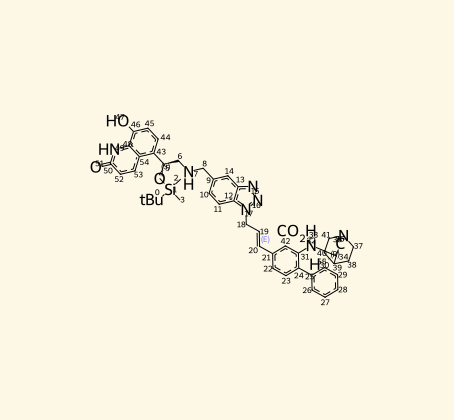 CC(C)(C)[Si](C)(C)O[C@H](CNCc1ccc2c(c1)nnn2C/C=C/c1ccc(-c2ccccc2)c(N(C(=O)O)[C@H]2CN3CCC2CC3)c1)c1ccc(O)c2[nH]c(=O)ccc12